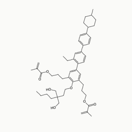 C=C(C)C(=O)OCCCc1cc(-c2ccc(-c3ccc(C4CCC(C)CC4)cc3)cc2CC)cc(CCCOC(=O)C(=C)C)c1OCCC(CO)(CO)CCCC